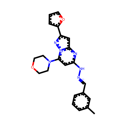 Cc1cccc(/C=N/Nc2cc(N3CCOCC3)n3nc(-c4ccco4)cc3n2)c1